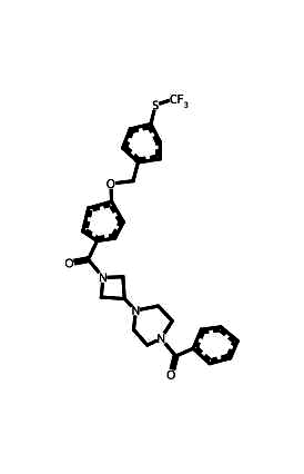 O=C(c1ccccc1)N1CCN(C2CN(C(=O)c3ccc(OCc4ccc(SC(F)(F)F)cc4)cc3)C2)CC1